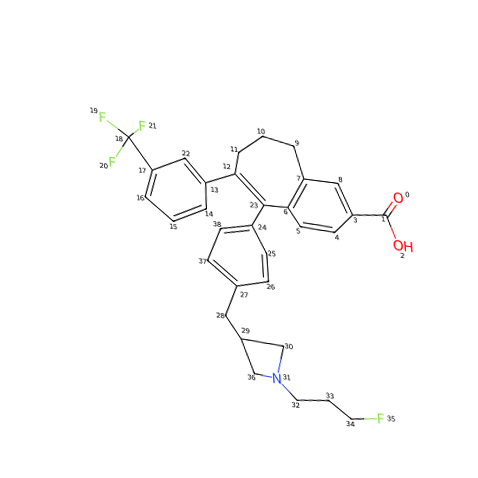 O=C(O)c1ccc2c(c1)CCCC(c1cccc(C(F)(F)F)c1)=C2c1ccc(CC2CN(CCCF)C2)cc1